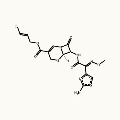 CON=C(C(=O)NC1C(=O)N2C=C(C(=O)OCC=CCl)CS[C@H]12)c1csc(N)n1